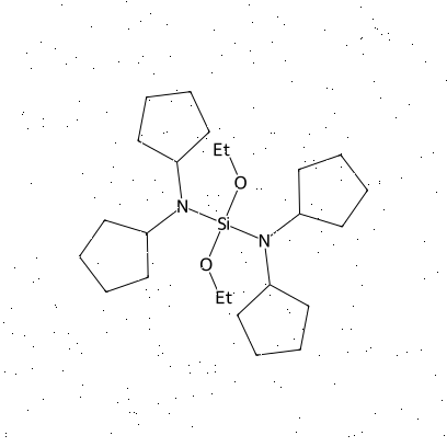 CCO[Si](OCC)(N(C1CCCC1)C1CCCC1)N(C1CCCC1)C1CCCC1